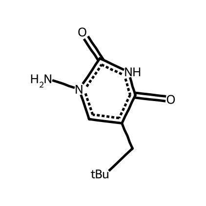 CC(C)(C)Cc1cn(N)c(=O)[nH]c1=O